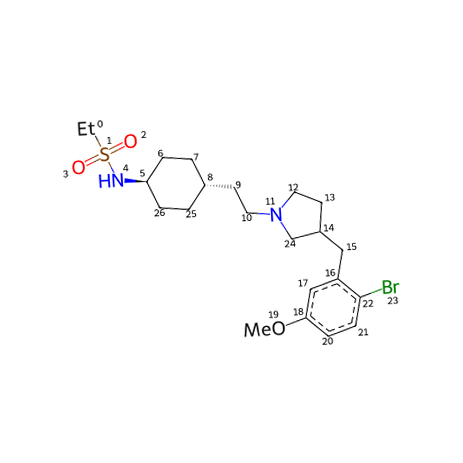 CCS(=O)(=O)N[C@H]1CC[C@H](CCN2CCC(Cc3cc(OC)ccc3Br)C2)CC1